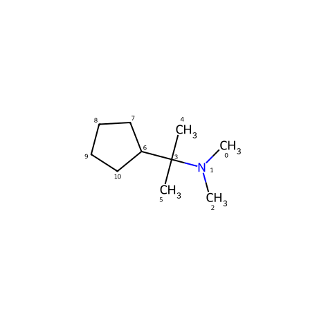 CN(C)C(C)(C)C1CCCC1